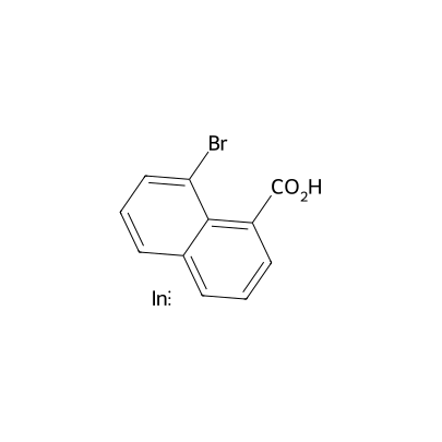 O=C(O)c1cccc2cccc(Br)c12.[In]